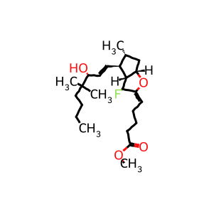 CCCCC(C)(C)[C@H](O)C=C[C@@H]1[C@H]2C(F)C(=CCCCC(=O)OC)O[C@H]2C[C@H]1C